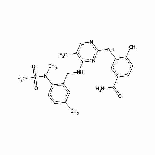 Cc1ccc(N(C)S(C)(=O)=O)c(CNc2nc(Nc3cc(C(N)=O)ccc3C)ncc2C(F)(F)F)c1